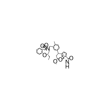 CC[C@@H]1CN(Cc2cc(C(CC(=O)OC)c3ccc(C(=O)NC)s3)ccc2C)S(=O)(=O)c2ccccc2O1